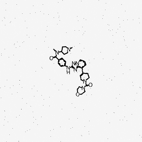 CN1CCC(N(C)C(=O)c2ccc(Nc3nc4c(C5=CCN(C(=O)N6CCOCC6)CC5)cccn4n3)cc2)CC1